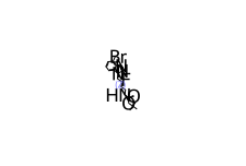 CC(C)(C)OC(=O)NC/C=C(\F)Cn1nnc2c(Br)cccc21